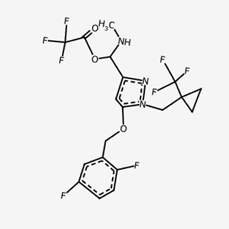 CNC(OC(=O)C(F)(F)F)c1cc(OCc2cc(F)ccc2F)n(CC2(C(F)(F)F)CC2)n1